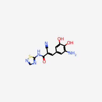 N#C/C(=C\c1cc(N)c(O)c(O)c1)C(=O)Nc1ncns1